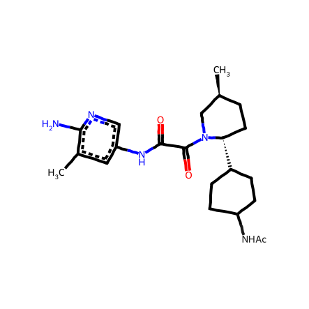 CC(=O)NC1CCC([C@H]2CC[C@H](C)CN2C(=O)C(=O)Nc2cnc(N)c(C)c2)CC1